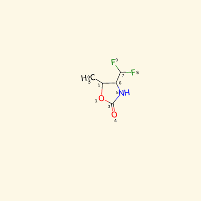 CC1OC(=O)NC1C(F)F